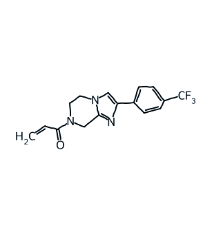 C=CC(=O)N1CCn2cc(-c3ccc(C(F)(F)F)cc3)nc2C1